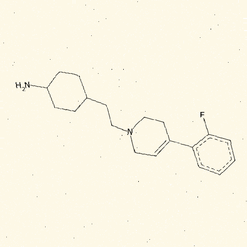 NC1CCC(CCN2CC=C(c3ccccc3F)CC2)CC1